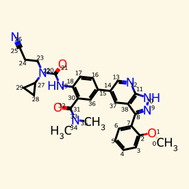 COc1ccccc1-c1n[nH]c2ncc(-c3ccc(NC(=O)N(CCC#N)C4CC4)c(C(=O)N(C)C)c3)cc12